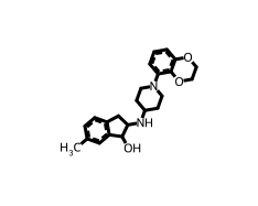 Cc1ccc2c(c1)C(O)C(NC1CCN(c3cccc4c3OCCO4)CC1)C2